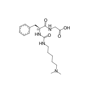 CN(C)CCCCCNC(=O)N[C@@H](Cc1ccccc1)C(=O)NCC(=O)O